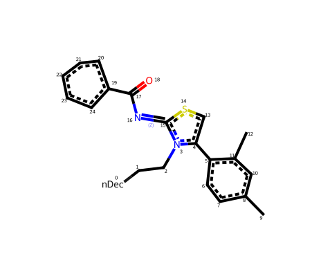 CCCCCCCCCCCCn1c(-c2ccc(C)cc2C)cs/c1=N\C(=O)c1ccccc1